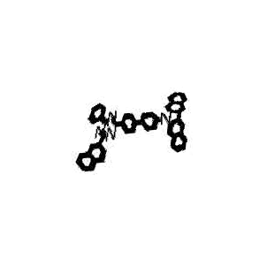 C1=CC2C=C3c4cc5ccccc5cc4N(c4ccc(-c5ccc(-c6nc(-c7ccccc7)nc(-c7ccc8ccccc8c7)n6)cc5)cc4)C3CC2C=C1